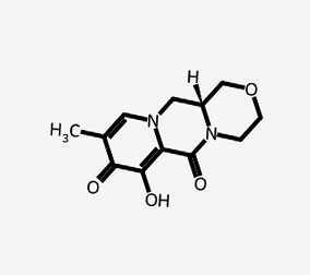 Cc1cn2c(c(O)c1=O)C(=O)N1CCOC[C@H]1C2